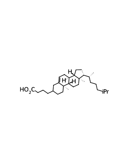 CC(C)CCC[C@@H](C)[C@H]1CC[C@H]2[C@@H]3CC=C4CC(CCCC(=O)O)CC[C@]4(C)[C@H]3CC[C@]12C